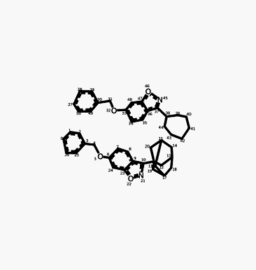 c1ccc(COc2ccc3c(C45CC6CC(CC(C6)C4)C5)noc3c2)cc1.c1ccc(COc2ccc3c(C4CCCCCC4)noc3c2)cc1